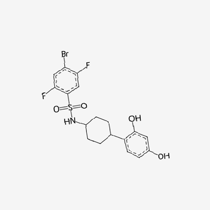 O=S(=O)(NC1CCC(c2ccc(O)cc2O)CC1)c1cc(F)c(Br)cc1F